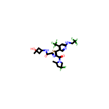 CC1CC(F)(F)CN1C(=O)c1nc(C(=O)NC2CC(C)(O)C2)sc1-c1cnc(NCC(F)(F)F)cc1C(F)(F)F